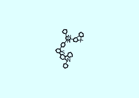 CC1(C)c2ccccc2-c2cc(-c3nc(-c4ccccc4)cc(-c4ccc(-c5cccc6c5sc5c6ccc6c(-c7ccccc7)nc7ccccc7c65)cc4)n3)ccc21